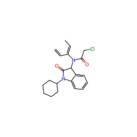 C=C/C(=C\C)N(C(=O)CCl)C1C(=O)N(C2CCCCC2)c2ccccc21